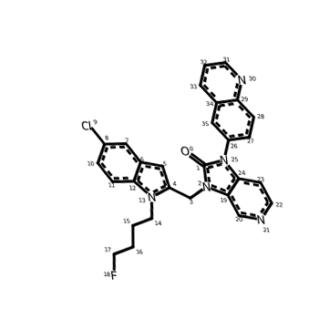 O=c1n(Cc2cc3cc(Cl)ccc3n2CCCCF)c2cnccc2n1-c1ccc2ncccc2c1